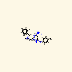 Cc1ccc(Nc2cc(N)nc(CN(C)Cc3ccccc3)n2)cc1